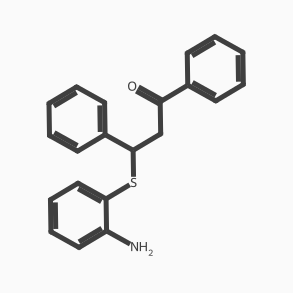 Nc1ccccc1SC(CC(=O)c1ccccc1)c1ccccc1